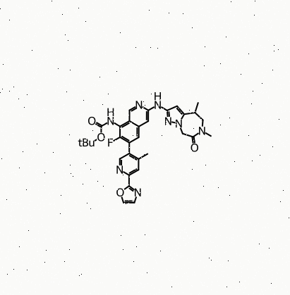 Cc1cc(-c2ncco2)ncc1-c1cc2cc(Nc3cc4n(n3)CC(=O)N(C)CC4C)ncc2c(NC(=O)OC(C)(C)C)c1F